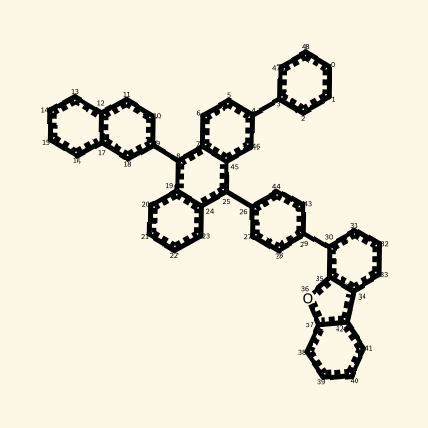 c1ccc(-c2ccc3c(-c4ccc5ccccc5c4)c4ccccc4c(-c4ccc(-c5cccc6c5oc5ccccc56)cc4)c3c2)cc1